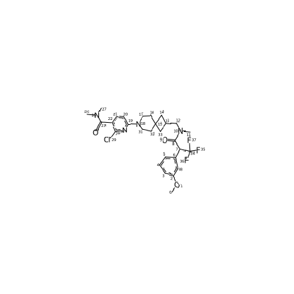 COc1cccc(C(C(=O)N(C)CC2CC3(CCN(c4ccc(C(=O)N(C)C)c(Cl)n4)CC3)C2)C(F)(F)F)c1